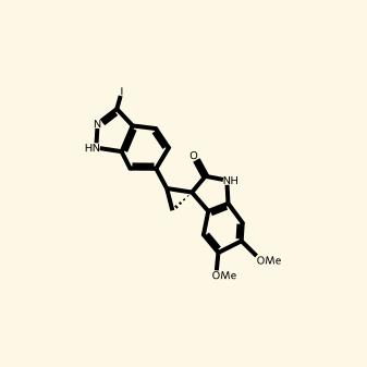 COc1cc2c(cc1OC)[C@]1(CC1c1ccc3c(I)n[nH]c3c1)C(=O)N2